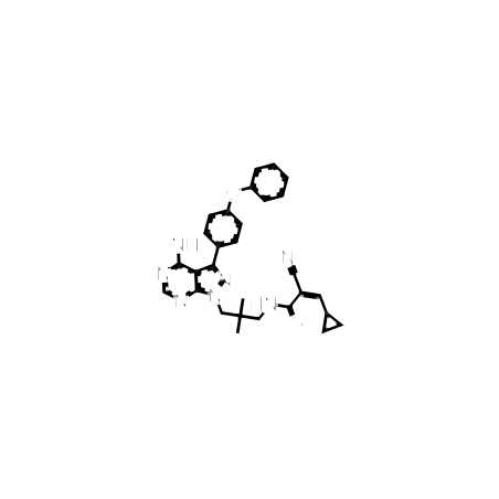 CC(C)(CNC(=O)/C(C#N)=C\C1CC1)Cn1nc(-c2ccc(Oc3ccccc3)cc2)c2c(N)ncnc21